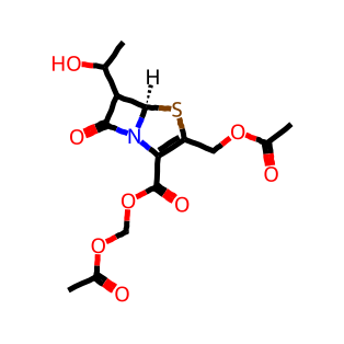 CC(=O)OCOC(=O)C1=C(COC(C)=O)S[C@@H]2C(C(C)O)C(=O)N12